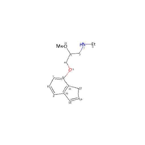 CCNCC(COc1cccc2c1CC=C2)OC